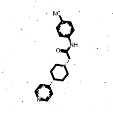 N#Cc1ccc(NC(=O)C[C@H]2CC[C@@H](c3ccncc3)CC2)cc1